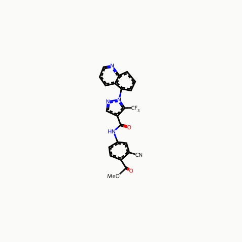 COC(=O)c1ccc(NC(=O)c2cnn(-c3cccc4ncccc34)c2C(F)(F)F)cc1C#N